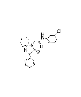 O=C(CN1C(=O)C(c2ccccc2)=NC12CCCCC2)Nc1cccc(Cl)c1